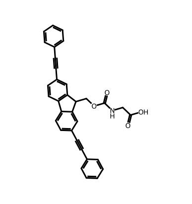 O=C(O)CNC(=O)OCC1c2cc(C#Cc3ccccc3)ccc2-c2ccc(C#Cc3ccccc3)cc21